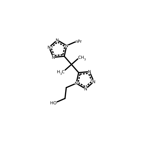 CCCn1nnnc1C(C)(C)c1nnnn1CCO